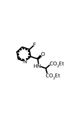 CCOC(=O)C(NC(=O)c1ncccc1F)C(=O)OCC